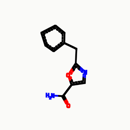 NC(=O)c1cnc(Cc2ccccc2)o1